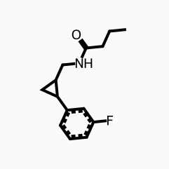 CCCC(=O)NCC1CC1c1cccc(F)c1